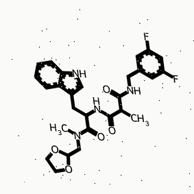 CC(C(=O)NCc1cc(F)cc(F)c1)C(=O)NC(Cc1c[nH]c2ccccc12)C(=O)N(C)CC1OCCO1